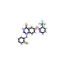 O=c1ncn(Cc2ccccc2Br)c2ccc(Oc3ncccc3C(F)(F)F)cc12